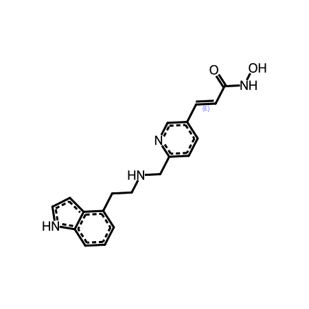 O=C(/C=C/c1ccc(CNCCc2cccc3[nH]ccc23)nc1)NO